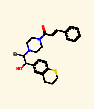 CCC(C(O)c1ccc2c(c1)CCCS2)N1CCN(C(=O)C=Cc2ccccc2)CC1